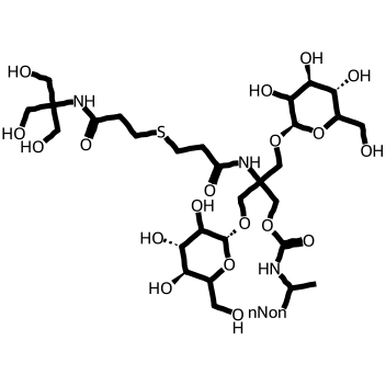 CCCCCCCCCC(C)NC(=O)OCC(CO[C@@H]1OC(CO)[C@@H](O)[C@H](O)C1O)(CO[C@@H]1OC(CO)[C@@H](O)[C@H](O)C1O)NC(=O)CCSCCC(=O)NC(CO)(CO)CO